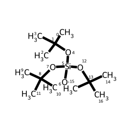 CC(C)(C)O[Si]([O])(OC(C)(C)C)OC(C)(C)C